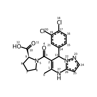 CC1=C(C(=O)N2CCC[C@H]2C(=O)O)C(c2ccc(Cl)c(Cl)c2)n2nccc2N1